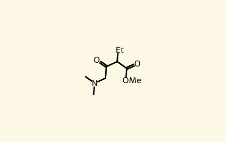 CCC(C(=O)CN(C)C)C(=O)OC